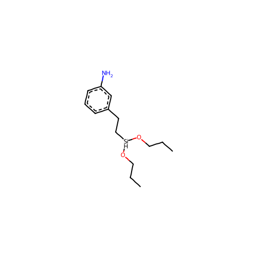 CCCO[SiH](CCc1cccc(N)c1)OCCC